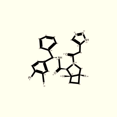 CC(C)c1ccc([C@@H](NC(=O)[C@@H]2[C@H]3CC[C@H]3CN2C(=O)Cc2cnn[nH]2)c2ccccc2)cc1F